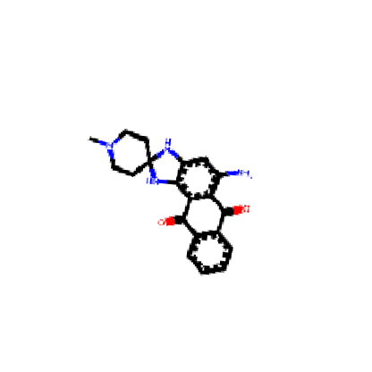 CN1CCC2(CC1)Nc1cc(N)c3c(c1N2)C(=O)c1ccccc1C3=O